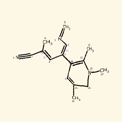 C=N/C=C(\C=C(/C)C#N)C1=C(C)N(C)CC(C)=C1